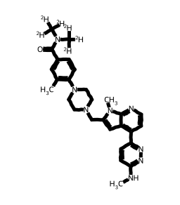 [2H]C([2H])([2H])N(C(=O)c1ccc(N2CCN(Cc3cc4c(-c5ccc(NC)nn5)ccnc4n3C)CC2)c(C)c1)C([2H])([2H])[2H]